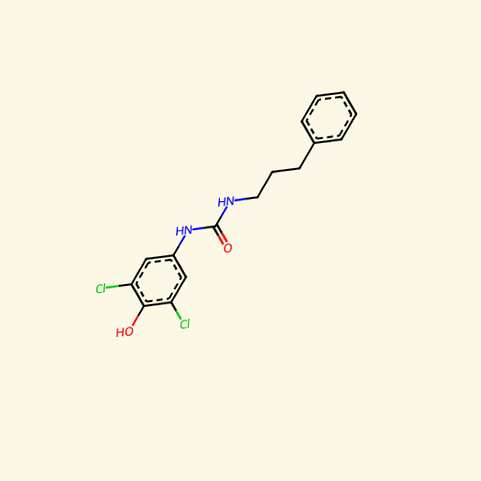 O=C(NCCCc1ccccc1)Nc1cc(Cl)c(O)c(Cl)c1